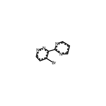 Brc1ccnnc1-c1ncccn1